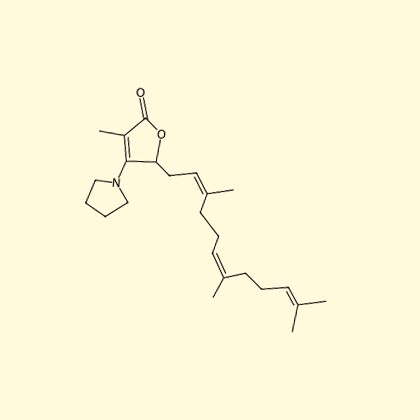 CC(C)=CCCC(C)=CCCC(C)=CCC1OC(=O)C(C)=C1N1CCCC1